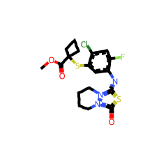 COC(=O)C1(Sc2cc(/N=c3/sc(=O)n4n3CCCC4)c(F)cc2Cl)CCC1